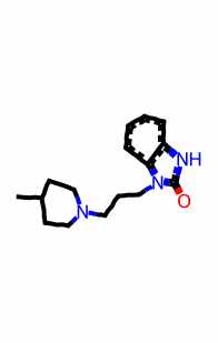 CC1CCN(CCCn2c(=O)[nH]c3ccccc32)CC1